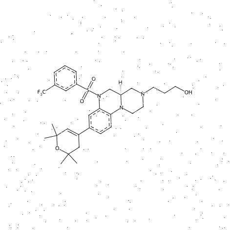 CC1(C)C=C(c2ccc3c(c2)N(S(=O)(=O)c2cccc(C(F)(F)F)c2)C[C@H]2CN(CCCO)CCN32)CC(C)(C)O1